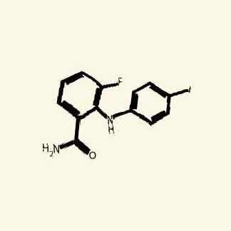 NC(=O)c1cccc(F)c1Nc1ccc(I)cc1